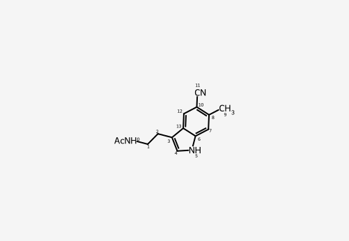 CC(=O)NCCc1c[nH]c2cc(C)c(C#N)cc12